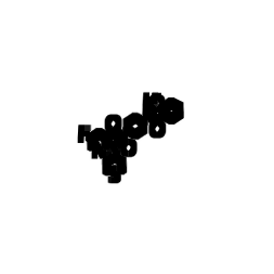 COc1ccccc1C(=O)N[C@H]1CC[C@@H](n2c(=O)c3cc(F)cnc3n(C3CCSCC3)c2=O)CC1